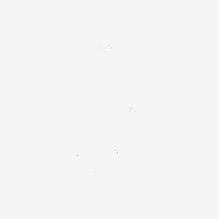 COc1cc(C(=O)NCC2CCN(C(=O)OC(C)(C)C)C2)ccc1N